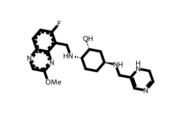 COc1cnc2ccc(F)c(CN[C@H]3CC[C@H](NCC4=CN=CCN4)C[C@H]3O)c2n1